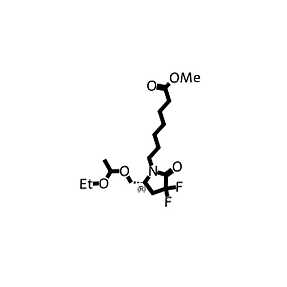 CCOC(C)OC[C@H]1CC(F)(F)C(=O)N1CCCCCCC(=O)OC